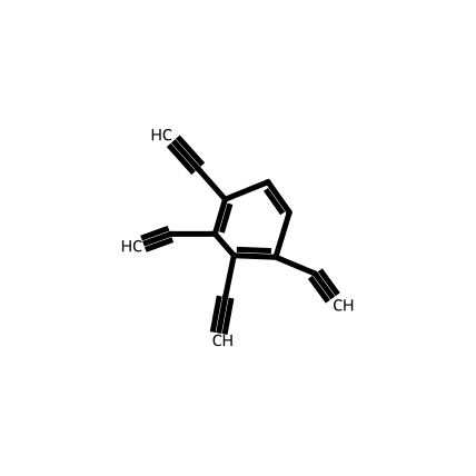 C#Cc1ccc(C#C)c(C#C)c1C#C